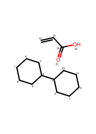 C1CCC(C2CCCCC2)CC1.C=CC(=O)O